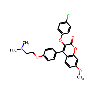 COc1ccc2c(-c3ccc(OCCN(C)C)cc3)c(Oc3ccc(Cl)cc3)c(=O)oc2c1